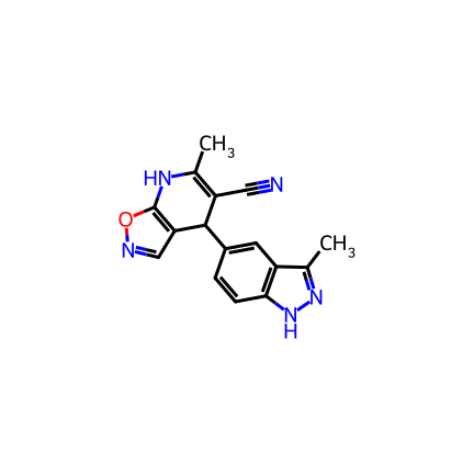 CC1=C(C#N)C(c2ccc3[nH]nc(C)c3c2)c2cnoc2N1